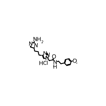 COc1ccc(CCNC(=O)Cn2cc(CCCC3C=NC(N)=N3)nn2)cc1.Cl